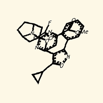 COC(=O)c1ccnc(N2C3CCC2CC(OCc2c(-c4ccccc4OC(F)F)noc2C2CC2)C3)n1